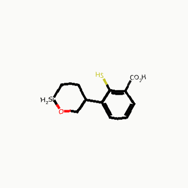 O=C(O)c1cccc(C2CC[SiH2]OC2)c1S